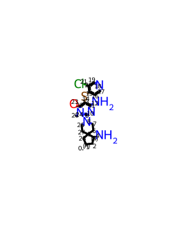 C[C@H]1C[C@@H](N)C2(CCN(c3nc(N)c(Sc4ccncc4Cl)c(=O)n3C)CC2)C1